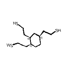 SCC[C@H]1CC[C@@H](CCS)[C@@H](CCS)C1